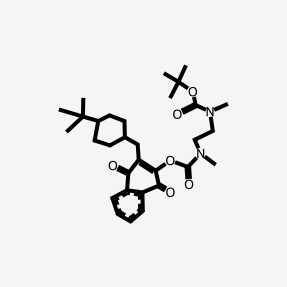 CN(CCN(C)C(=O)OC(C)(C)C)C(=O)OC1=C(CC2CCC(C(C)(C)C)CC2)C(=O)c2ccccc2C1=O